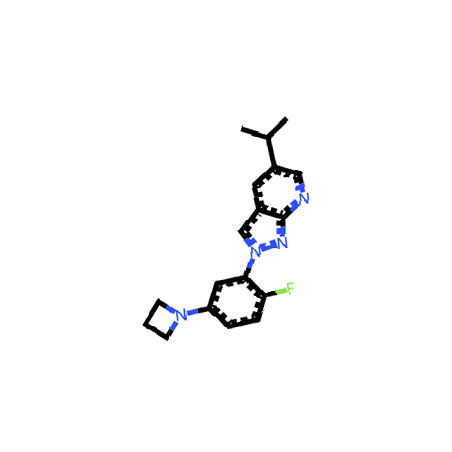 CC(C)c1cnc2nn(-c3cc(N4CCC4)ccc3F)cc2c1